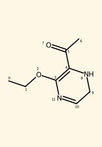 CCOC1=C(C(C)=O)NCC=N1